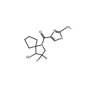 Cc1nc(C(=O)N2CC(F)(F)C(O)C23CCCC3)cs1